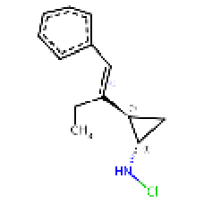 CC/C(=C\c1ccccc1)[C@H]1C[C@@H]1NCl